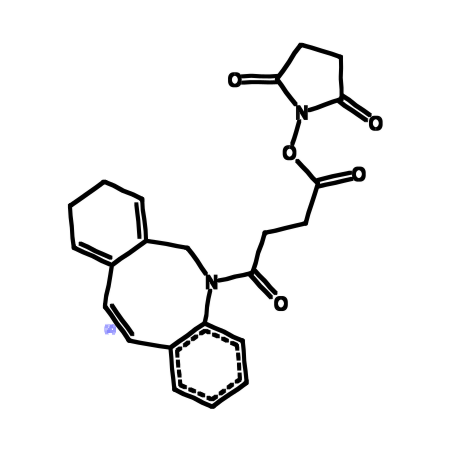 O=C(CCC(=O)N1CC2=CCCC=C2/C=C\c2ccccc21)ON1C(=O)CCC1=O